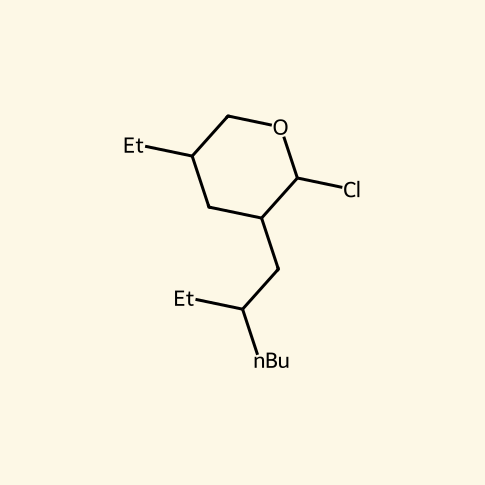 CCCCC(CC)CC1CC(CC)COC1Cl